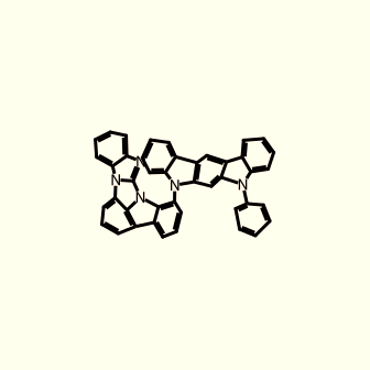 c1ccc(-n2c3ccccc3c3cc4c5ccccc5n(-c5cccc6c7cccc8c7n(c56)c5nc6ccccc6n85)c4cc32)cc1